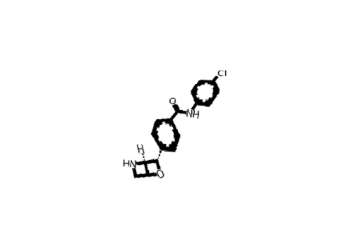 O=C(Nc1ccc(Cl)cc1)c1ccc([C@@H]2OC3CN[C@H]32)cc1